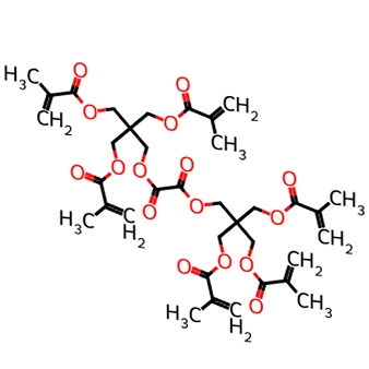 C=C(C)C(=O)OCC(COC(=O)C(=C)C)(COC(=O)C(=C)C)COC(=O)C(=O)OCC(COC(=O)C(=C)C)(COC(=O)C(=C)C)COC(=O)C(=C)C